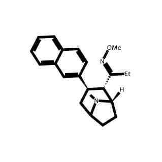 CCC(=NOC)[C@H]1[C@H](c2ccc3ccccc3c2)CC2CC[C@@H]1N2C